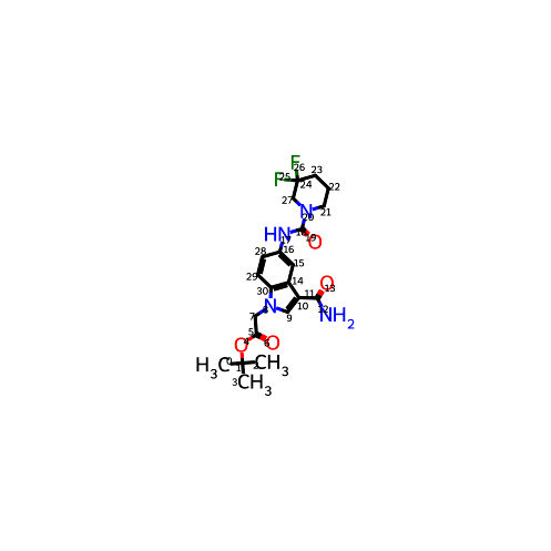 CC(C)(C)OC(=O)Cn1cc(C(N)=O)c2cc(NC(=O)N3CCCC(F)(F)C3)ccc21